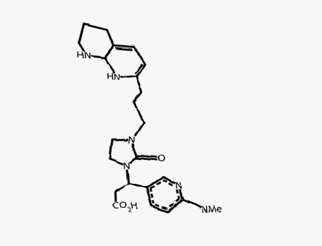 CNc1ccc([C@@H](CC(=O)O)N2CCN(CCCC3=CC=C4CCCNC4N3)C2=O)cn1